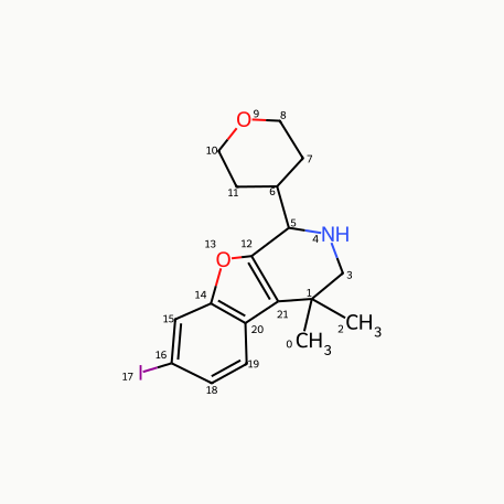 CC1(C)CNC(C2CCOCC2)c2oc3cc(I)ccc3c21